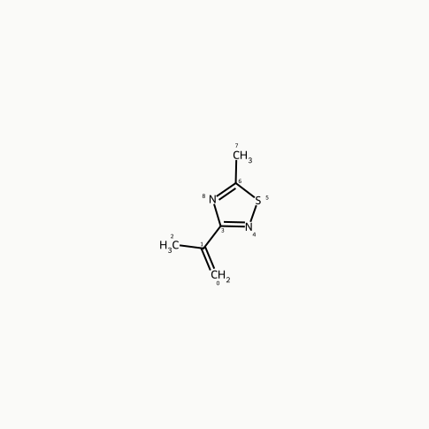 C=C(C)c1nsc(C)n1